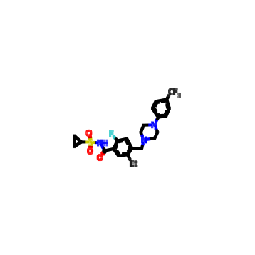 CCc1cc(C(=O)NS(=O)(=O)C2CC2)c(F)cc1CN1CCN(c2ccc(C(F)(F)F)cc2)CC1